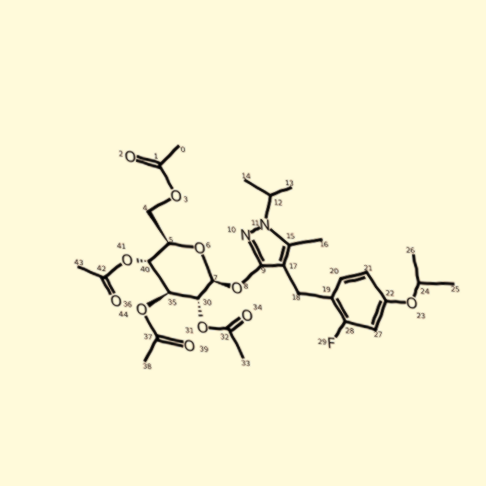 CC(=O)OC[C@H]1O[C@@H](Oc2nn(C(C)C)c(C)c2Cc2ccc(OC(C)C)cc2F)[C@H](OC(C)=O)[C@@H](OC(C)=O)[C@@H]1OC(C)=O